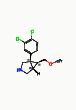 CCCOC[C@H]1[C@@H]2CNC[C@@]21c1ccc(Cl)c(Cl)c1